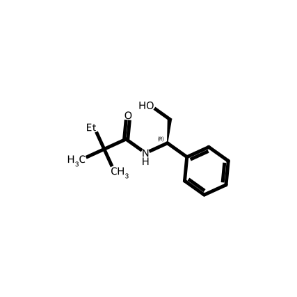 CCC(C)(C)C(=O)N[C@@H](CO)c1ccccc1